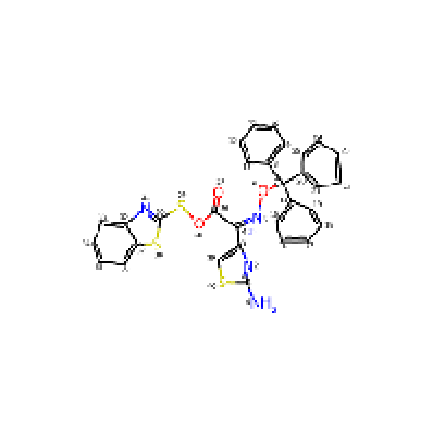 Nc1nc(/C(=N/OC(c2ccccc2)(c2ccccc2)c2ccccc2)C(=O)OSc2nc3ccccc3s2)cs1